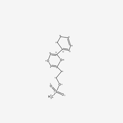 CS(=O)(=O)OCCC1=COC=C(C2=CC=CCC2)O1